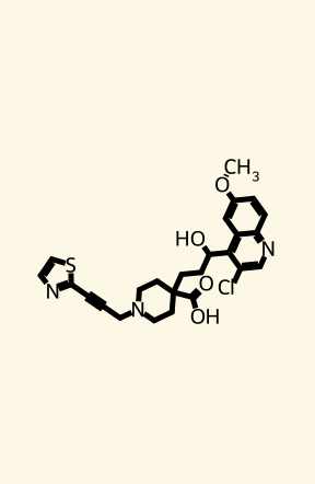 COc1ccc2ncc(Cl)c(C(O)CCC3(C(=O)O)CCN(CC#Cc4nccs4)CC3)c2c1